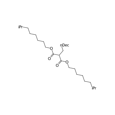 CCCCCCCCCCCC(C(=O)OCCCCCCC(C)C)C(=O)OCCCCCCC(C)C